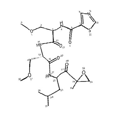 COCC(NC(=O)c1cncs1)C(=O)N[C@@H](COC)C(=O)NC(CC(C)C)C(=O)C1(C)CO1